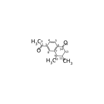 CC(=O)c1ccc2c(c1)C(C)C(C)CC2=O